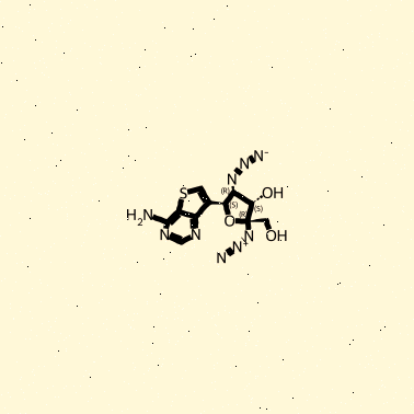 [N-]=[N+]=N[C@H]1[C@H](c2csc3c(N)ncnc23)O[C@@](CO)(N=[N+]=[N-])[C@H]1O